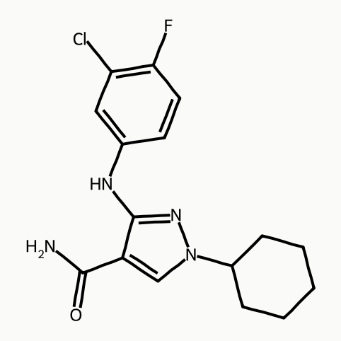 NC(=O)c1cn(C2CCCCC2)nc1Nc1ccc(F)c(Cl)c1